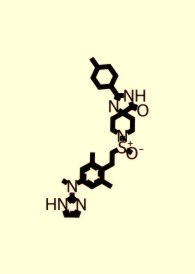 Cc1cc(N(C)c2ncc[nH]2)cc(C)c1CC[S+]([O-])N1CCC2(CC1)N=C(C1CCC(C)CC1)NC2=O